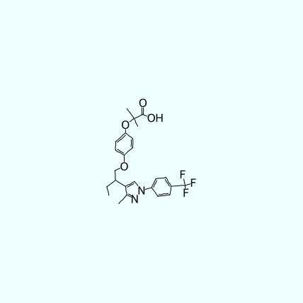 CCC(COc1ccc(OC(C)(C)C(=O)O)cc1)c1cn(-c2ccc(C(F)(F)F)cc2)nc1C